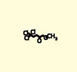 COCC(=O)CCC(Cl)(Cl)Cl